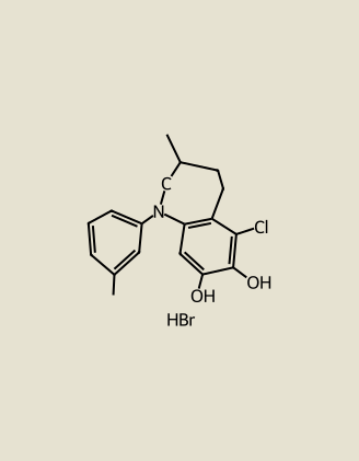 Br.Cc1cccc(N2CC(C)CCc3c2cc(O)c(O)c3Cl)c1